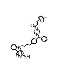 Cc1ccc(/C=C/C(=O)N2CCN(C(c3ccccc3)c3ccc(CCCCn4c5ccccc5c5nnc(S)nc54)cc3)CC2)o1